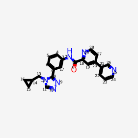 O=C(Nc1cccc(-c2nncn2CC2CC2)c1)c1cc(-c2cccnc2)ccn1